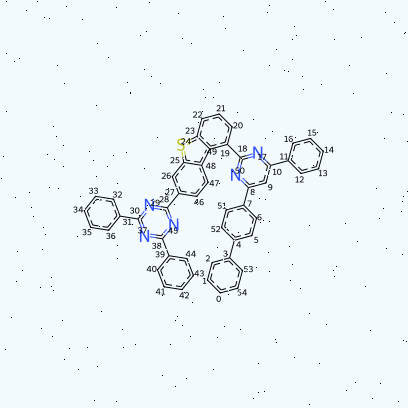 c1ccc(-c2ccc(-c3cc(-c4ccccc4)nc(-c4cccc5sc6cc(-c7nc(-c8ccccc8)nc(-c8ccccc8)n7)ccc6c45)n3)cc2)cc1